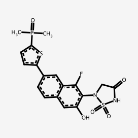 CP(C)(=O)c1ccc(-c2ccc3cc(O)c(N4CC(=O)NS4(=O)=O)c(F)c3c2)s1